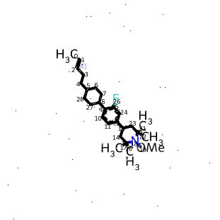 C/C=C/CCC1CCC(c2ccc(C3CC(C)(C)N(OC)C(C)(C)C3)cc2F)CC1